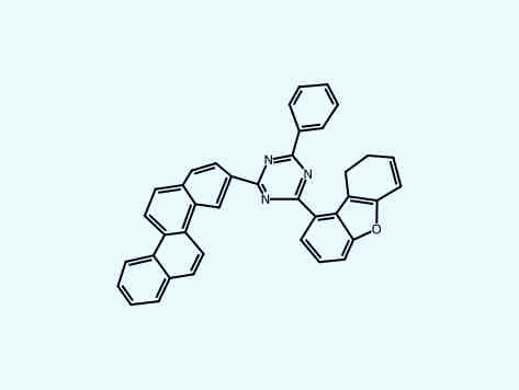 C1=Cc2oc3cccc(-c4nc(-c5ccccc5)nc(-c5ccc6ccc7c8ccccc8ccc7c6c5)n4)c3c2CC1